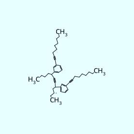 CC[CH]CC(C#CC(CCCC)c1cccc(C#CCCCCCCC)c1)c1cccc(C#CCCCCCCC)c1